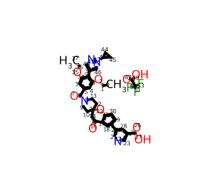 CCOc1cc(C(=O)N2CCC3(CC2)CC(=O)c2cc(-c4cncc(C(=O)O)c4)ccc2O3)cc(OCC)c1-c1cnn(C2CC2)c1.O=C(O)C(F)(F)F